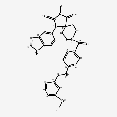 CN1C(=O)N(c2ccc3[nH]nnc3c2)C2(CCN(C(=O)c3cnc(NCc4cccc(OC(F)(F)F)c4)nc3)CC2)C1=O